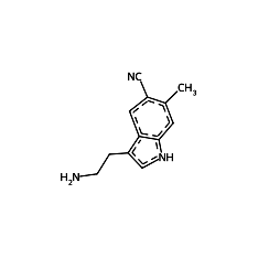 Cc1cc2[nH]cc(CCN)c2cc1C#N